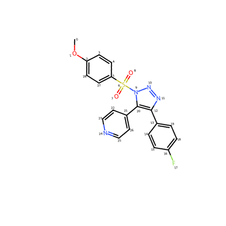 COc1ccc(S(=O)(=O)n2nnc(-c3ccc(F)cc3)c2-c2ccncc2)cc1